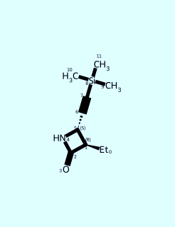 CC[C@H]1C(=O)N[C@@H]1C#C[Si](C)(C)C